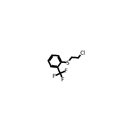 FC(F)(F)c1ccccc1SCCCl